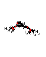 C=CC(=O)OCC(CCCCOc1ccc(C(=O)Oc2ccc(OC(=O)c3ccc(OCCCCC(COC(=O)C=C)OC(=O)C(=C)C)cc3)cc2/C=N/Nc2nc3ccccc3s2)cc1)OC(=O)C=C